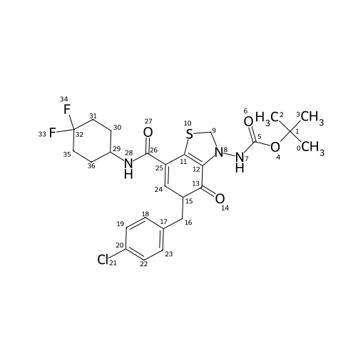 CC(C)(C)OC(=O)NN1CSC2=C1C(=O)C(Cc1ccc(Cl)cc1)C=C2C(=O)NC1CCC(F)(F)CC1